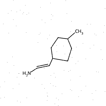 CC1CCC(/C=C/N)CC1